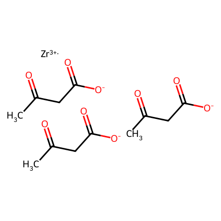 CC(=O)CC(=O)[O-].CC(=O)CC(=O)[O-].CC(=O)CC(=O)[O-].[Zr+3]